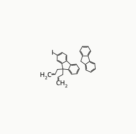 C=CCC1(CC=C)c2ccccc2-c2ccc(I)cc21.c1ccc2c(c1)Cc1ccccc1-2